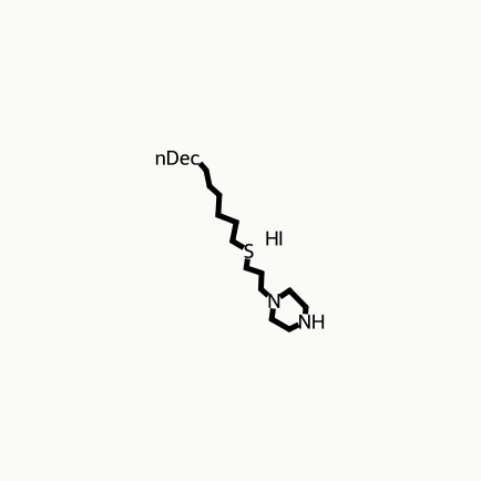 CCCCCCCCCCCCCCCCSCCCN1CCNCC1.I